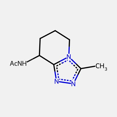 CC(=O)NC1CCCn2c(C)nnc21